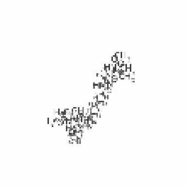 COC(=O)N[C@H](C(=O)N1CCC[C@H]1c1ncc(-c2ccc(-c3ccc(-c4cnc([C@@H]5CC6(CN5C(=O)[C@@H](NC(=O)OC)C(C)C)OCCCO6)[nH]4)cc3)cc2)[nH]1)C(C)C